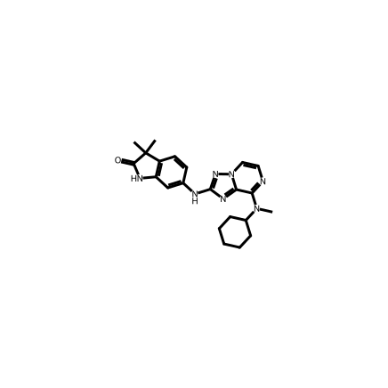 CN(c1nccn2nc(Nc3ccc4c(c3)NC(=O)C4(C)C)nc12)C1CCCCC1